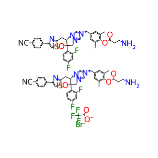 Cc1cc(C[n+]2cnn(C[C@](O)(c3ccc(F)cc3F)[C@H](C)Cc3nc(-c4ccc(C#N)cc4)cs3)c2)cc(C)c1OC(=O)CCN.Cc1cc(C[n+]2cnn(C[C@](O)(c3ccc(F)cc3F)[C@H](C)Cc3nc(-c4ccc(C#N)cc4)cs3)c2)cc(C)c1OC(=O)CCN.O=C([O-])C(F)(F)F.[Br-]